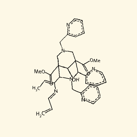 C=CC=NC(=CC)C1N(Cc2ccccn2)C(c2ccccn2)C2(C(=O)OC)CN(Cc3ccccn3)CC1(C(=O)OC)C2O